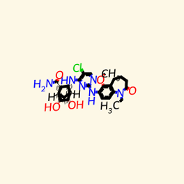 CCN1C(=O)CCCc2c1ccc(Nc1ncc(Cl)c(N[C@@H]3[C@@H]4C[C@@H]([C@@H](O)[C@H]4O)[C@@H]3C(N)=O)n1)c2OC